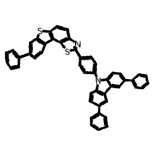 c1ccc(-c2ccc3c(c2)sc2ccc4nc(-c5ccc(-n6c7ccc(-c8ccccc8)cc7c7cc(-c8ccccc8)ccc76)cc5)sc4c23)cc1